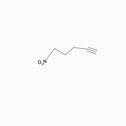 C#CCCC[N+](=O)[O-]